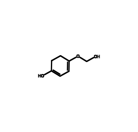 OCOC1=CC=C(O)CC1